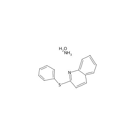 N.O.c1ccc(Sc2ccc3ccccc3n2)cc1